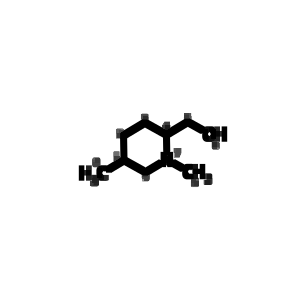 CC1CCC(CO)N(C)C1